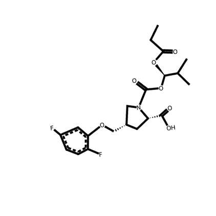 CCC(=O)O[C@H](OC(=O)N1C[C@@H](COc2cc(F)ccc2F)C[C@H]1C(=O)O)C(C)C